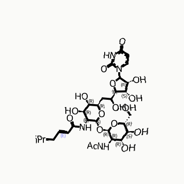 CC(=O)N[C@H]1[C@@H](O[C@@H]2O[C@H](CC(O)[C@H]3OC(n4ccc(=O)[nH]c4=O)[C@H](O)[C@@H]3O)[C@H](O)[C@H](O)[C@H]2NC(=O)/C=C/CC(C)C)O[C@H](CO)[C@@H](O)[C@@H]1O